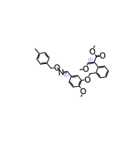 CO/C=C(/C(=O)OC)c1ccccc1COc1cc(/C=N/OCc2ccc(C)cc2)ccc1OC